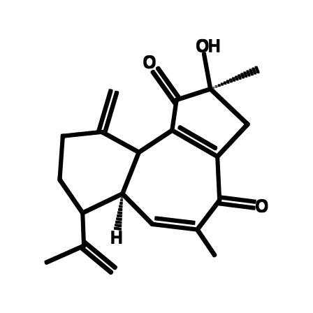 C=C(C)C1CCC(=C)C2C3=C(C[C@](C)(O)C3=O)C(=O)C(C)=C[C@@H]12